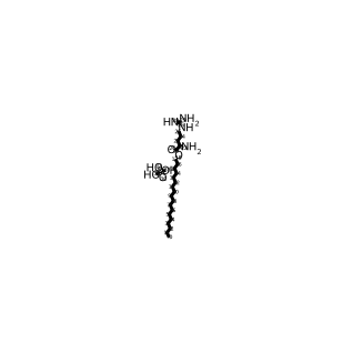 CCCCCCCCCCCCCCCCCCOC(=O)[C@@H](N)CCCNC(=N)N.O=P(O)(O)O